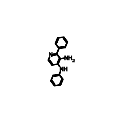 Nc1c(Nc2ccccc2)ccnc1-c1ccccc1